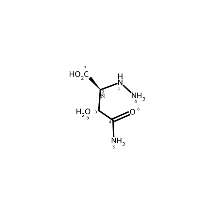 NN[C@@H](CC(N)=O)C(=O)O.O